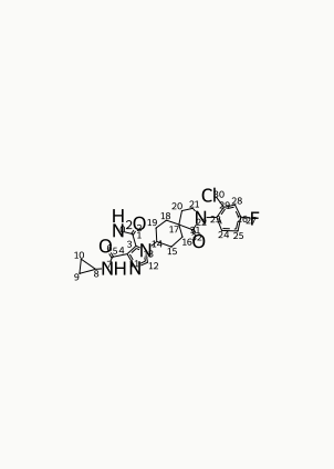 NC(=O)c1c(C(=O)NC2CC2)ncn1C1CCC2(CC1)CCN(c1ccc(F)cc1Cl)C2=O